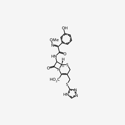 CON=C(C(=O)NC1C(=O)N2C(C(=O)O)=C(CSc3nnc[nH]3)CS[C@@H]12)c1cccc(O)c1